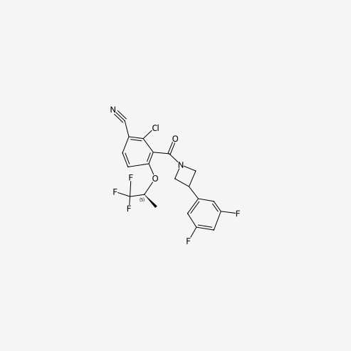 C[C@H](Oc1ccc(C#N)c(Cl)c1C(=O)N1CC(c2cc(F)cc(F)c2)C1)C(F)(F)F